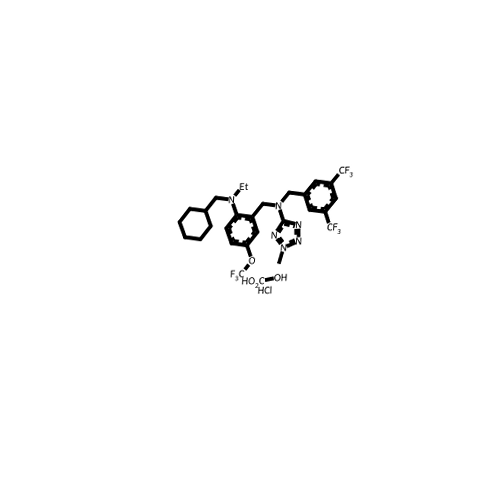 CCN(CC1CCCCC1)c1ccc(OC(F)(F)F)cc1CN(Cc1cc(C(F)(F)F)cc(C(F)(F)F)c1)c1nnn(C)n1.Cl.O=C(O)O